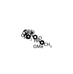 COc1cc(NC(=O)[C@H]2CC[C@@H](n3c(=O)[nH]c4c(C5(C(N)=O)CNCCO5)cccc43)CC2)ccc1C